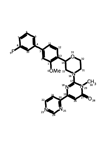 COc1cc(-c2cccc(F)c2)ccc1C1CN(c2nc(-c3ccncn3)cc(=O)n2C)CCO1